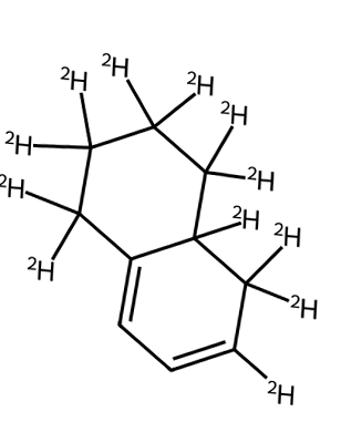 [2H]C1=CC=C2C([2H])([2H])C([2H])([2H])C([2H])([2H])C([2H])([2H])C2([2H])C1([2H])[2H]